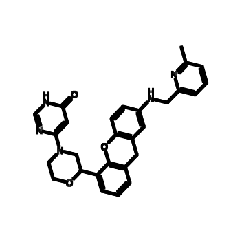 Cc1cccc(CNc2ccc3c(c2)Cc2cccc(C4CN(c5cc(=O)[nH]cn5)CCO4)c2O3)n1